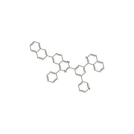 c1ccc(-c2nc(-c3cc(-c4cccnc4)cc(-c4nccc5ccccc45)c3)nc3ccc(-c4ccc5ccccc5c4)cc23)cc1